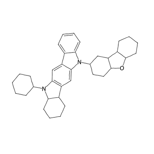 c1ccc2c(c1)c1cc3c(cc1n2C1CCC2OC4CCCCC4C2C1)C1CCCCC1N3C1CCCCC1